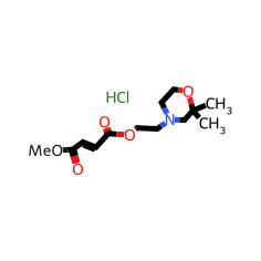 COC(=O)C=CC(=O)OCCN1CCOC(C)(C)C1.Cl